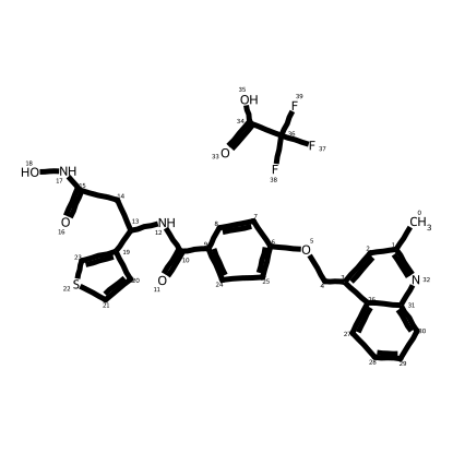 Cc1cc(COc2ccc(C(=O)NC(CC(=O)NO)c3ccsc3)cc2)c2ccccc2n1.O=C(O)C(F)(F)F